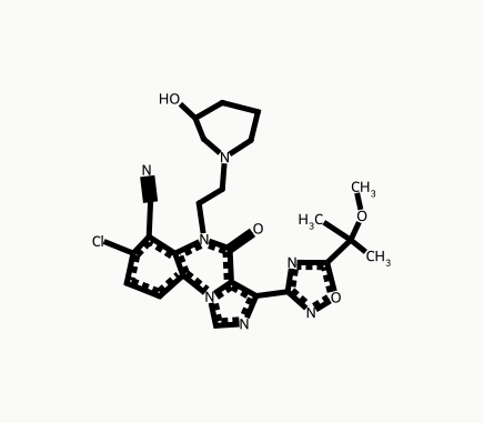 COC(C)(C)c1nc(-c2ncn3c2c(=O)n(CCN2CCCC(O)C2)c2c(C#N)c(Cl)ccc23)no1